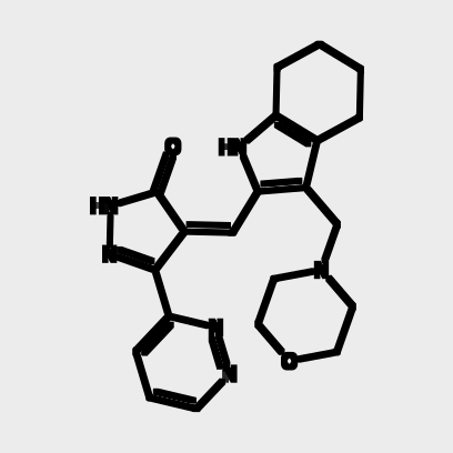 O=C1NN=C(c2cccnn2)C1=Cc1[nH]c2c(c1CN1CCOCC1)CCCC2